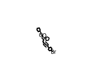 O=C(CC(CN1CCN(c2ccc(Br)cc2)CC1)N1CCCCC1)OCc1ccccc1